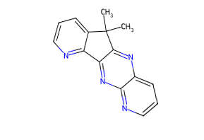 CC1(C)c2cccnc2-c2nc3ncccc3nc21